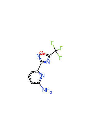 Nc1cccc(-c2noc(C(F)(F)F)n2)n1